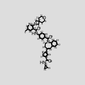 Cc1cnc(N2CC3(CCOCC3)C2)c(C(=O)Nc2ccc(C(=O)N3CCC(c4cc(C(=O)NC5CC5)cs4)=Cc4ccccc43)cc2)c1